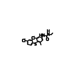 CCNC(=O)Nc1cc(C)c(Sc2ccc(Cl)cc2)c(Cl)c1